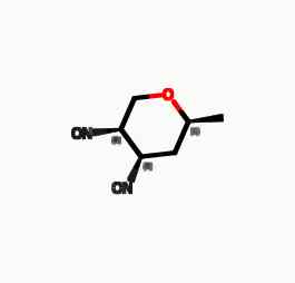 C[C@H]1C[C@@H](N=O)[C@@H](N=O)CO1